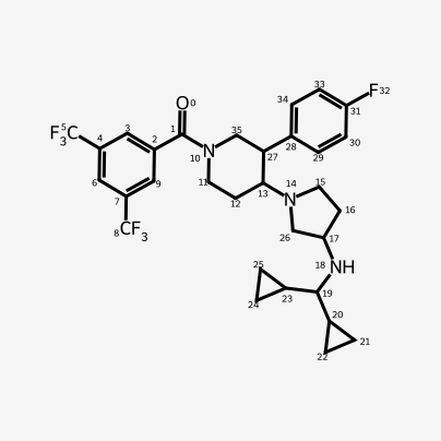 O=C(c1cc(C(F)(F)F)cc(C(F)(F)F)c1)N1CCC(N2CCC(NC(C3CC3)C3CC3)C2)C(c2ccc(F)cc2)C1